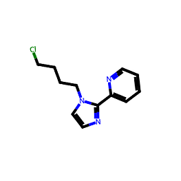 ClCCCCn1ccnc1-c1ccccn1